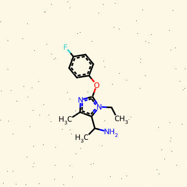 CCn1c(Oc2ccc(F)cc2)nc(C)c1C(C)N